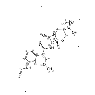 C=CC1(C(=O)O)CS[C@@H]2C(NC(=O)C(=NOC)c3cccc(NC=O)n3)C(=O)N2C1